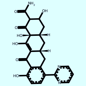 NC(=O)C1C(=O)[C@@]2(O)C(O)=C3C(=O)c4c(O)ccc(-c5ncccn5)c4C[C@H]3C[C@H]2CC1O